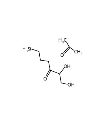 CC(C)=O.O=C(CCC[SiH3])C(O)CO